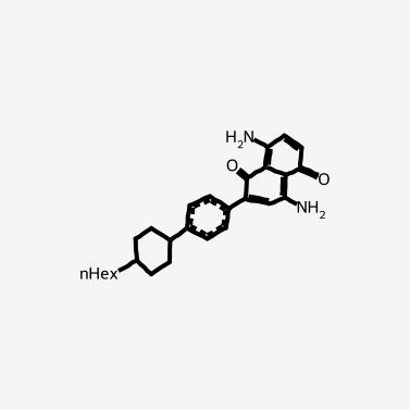 CCCCCCC1CCC(c2ccc(C3=CC(N)=C4C(=O)C=CC(N)=C4C3=O)cc2)CC1